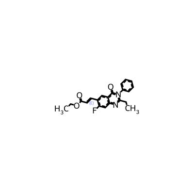 CCOC(=O)/C=C/c1cc2c(=O)n(-c3ccccc3)c(CC)nc2cc1F